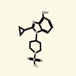 COc1cccc2c1nc(C1CC1)n2C1CCN(S(=O)(=O)C(F)(F)F)CC1